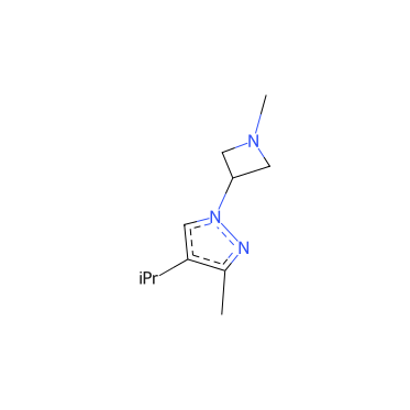 Cc1nn(C2CN(C)C2)cc1C(C)C